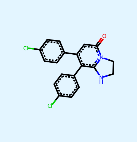 O=c1cc(-c2ccc(Cl)cc2)c(-c2ccc(Cl)cc2)c2n1CCN2